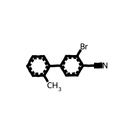 Cc1ccccc1-c1ccc(C#N)c(Br)c1